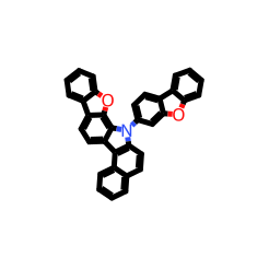 c1ccc2c(c1)ccc1c2c2ccc3c4ccccc4oc3c2n1-c1ccc2c(c1)oc1ccccc12